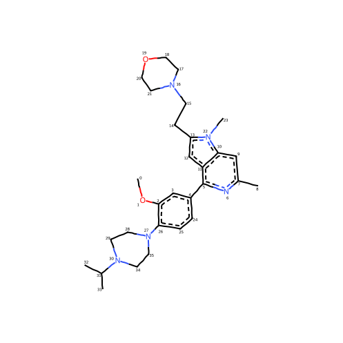 COc1cc(-c2nc(C)cc3c2cc(CCN2CCOCC2)n3C)ccc1N1CCN(C(C)C)CC1